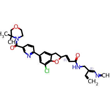 C=C/C(=C\N=C)CNC(=O)/C=C/C1Cc2cc(-c3ccc(C(=O)N4CCOCC4(C)C)cn3)cc(Cl)c2O1